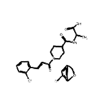 CC(NC(=O)C1CCN(C(=O)C=Cc2ccccc2Cl)CC1)C(=O)O.Clc1cc2ccc1OC2